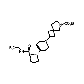 CCOC(=O)N1CCC2(CC(N3CC=C([C@@H]4CCCN4C(=O)NCC(F)(F)F)CC3)C2)C1